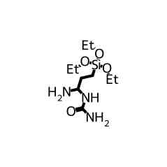 CCO[Si](CCC(N)NC(N)=O)(OCC)OCC